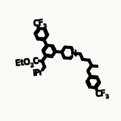 CCOC(=O)C(CC(C)C)c1cc(-c2ccc(C(F)(F)F)cc2)cc(C2CCN(CCCC(C)Cc3ccc(C(F)(F)F)cc3)CC2)c1